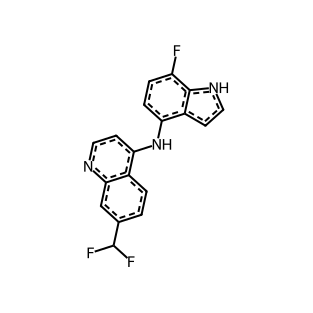 Fc1ccc(Nc2ccnc3cc(C(F)F)ccc23)c2cc[nH]c12